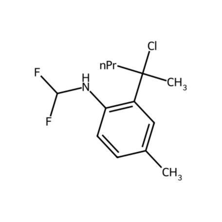 CCCC(C)(Cl)c1cc(C)ccc1NC(F)F